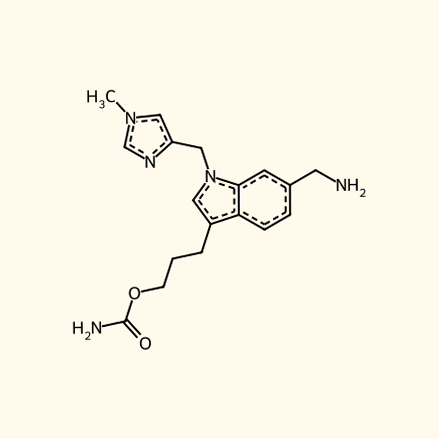 Cn1cnc(Cn2cc(CCCOC(N)=O)c3ccc(CN)cc32)c1